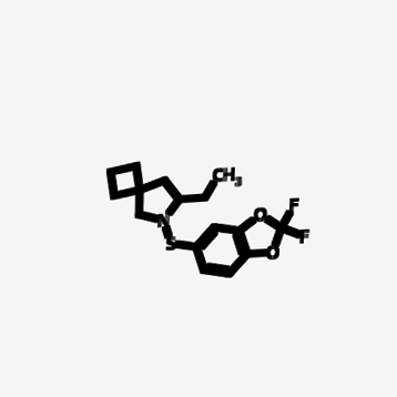 CCC1CC2(CCC2)CN1Sc1ccc2c(c1)OC(F)(F)O2